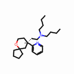 CCCCN(CCCC)CC[C@@]1(c2ccccn2)CCOC2(CCCC2)C1